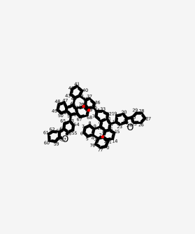 c1ccc(-c2ccccc2-c2c3ccccc3c(-c3ccc4c(c3)oc3ccccc34)c3ccc(-c4ccc(-c5ccccc5-c5c6ccccc6c(-c6ccc7oc8ccccc8c7c6)c6ccccc56)cc4)cc23)cc1